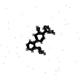 C=C(C)c1ccc(-c2ccccc2OC)cc1Cl